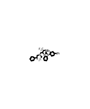 CC(C)c1ccc(N2C3=NC(C(F)(F)F)C(CN(CCc4ccccc4)CC(F)(F)F)N3c3ccccc32)c(Br)c1